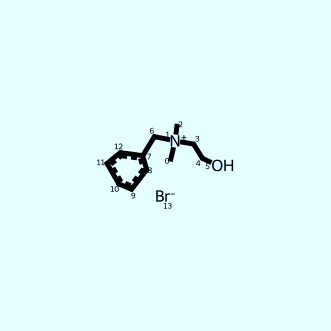 C[N+](C)(CCO)Cc1ccccc1.[Br-]